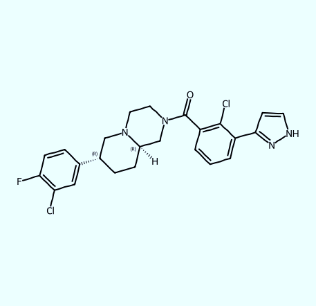 O=C(c1cccc(-c2cc[nH]n2)c1Cl)N1CCN2C[C@@H](c3ccc(F)c(Cl)c3)CC[C@@H]2C1